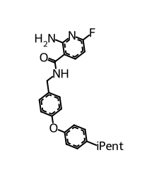 CCCC(C)c1ccc(Oc2ccc(CNC(=O)c3ccc(F)nc3N)cc2)cc1